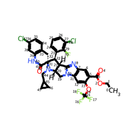 CCOC(=O)c1cc2nc3n(c2cc1OC(F)(F)F)C[C@H]1[C@@H]3[C@H](c2cccc(Cl)c2F)[C@@]2(Cc3ccc(Cl)cc3NC2=O)N1CC1CC1